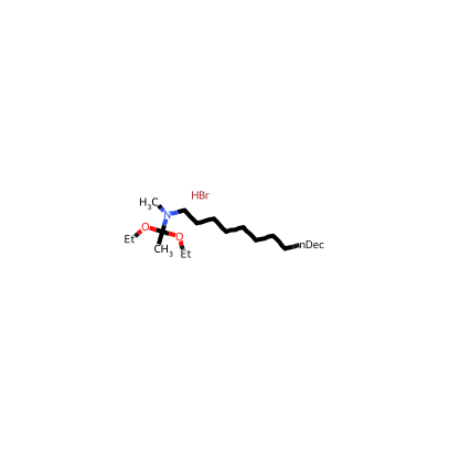 Br.CCCCCCCCCCCCCCCCCCN(C)C(C)(OCC)OCC